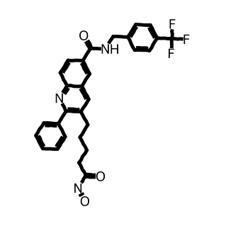 O=NC(=O)CCCCc1cc2cc(C(=O)NCc3ccc(C(F)(F)F)cc3)ccc2nc1-c1ccccc1